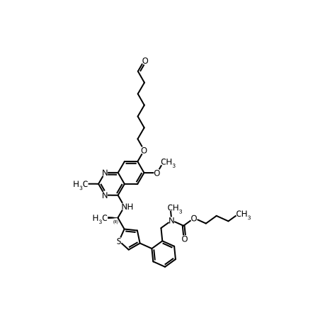 CCCCOC(=O)N(C)Cc1ccccc1-c1csc([C@@H](C)Nc2nc(C)nc3cc(OCCCCCCC=O)c(OC)cc23)c1